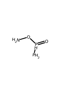 NO[PH](=O)P